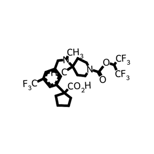 CN(Cc1cc(C(F)(F)F)cc(C2(C(=O)O)CCCC2)c1)C1(C)CCN(C(=O)OC(C(F)(F)F)C(F)(F)F)CC1